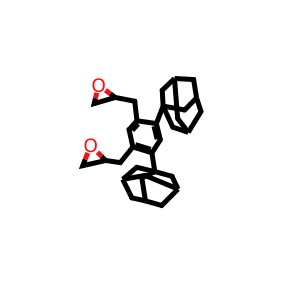 c1c(CC2CO2)c(C23CC4CC(CC(C4)C2)C3)cc(C23CC4CC(CC(C4)C2)C3)c1CC1CO1